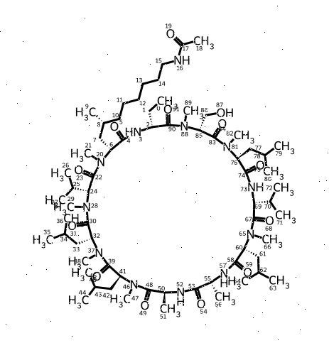 CC[C@H]1NC(=O)[C@@H](C[C@H](C)CCCCCCNC(C)=O)N(C)C(=O)[C@@H](C(C)C)N(C)C(=O)[C@@H](CC(C)C)N(C)C(=O)[C@H](CC(C)C)N(C)C(=O)[C@H](C)NC(=O)[C@@H](C)NC(=O)[C@@H](CC(C)C)N(C)C(=O)[C@@H](C(C)C)NC(=O)[C@H](CC(C)C)N(C)C(=O)[C@@H](CO)N(C)C1=O